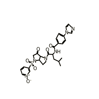 CC(C)CC(NC(=O)c1ccc(-n2ccnc2)cc1)C(=O)N1CCC2C1C(=O)CN2S(=O)(=O)c1ccc[n+]([O-])c1